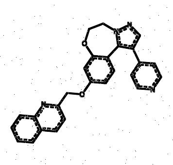 c1ccc2nc(COc3ccc4c(c3)OCCn3ncc(-c5ccncc5)c3-4)ccc2c1